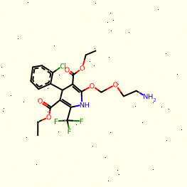 CCOC(=O)C1=C(OCOCCN)NC(C(F)(F)F)=C(C(=O)OCC)C1c1ccccc1Cl